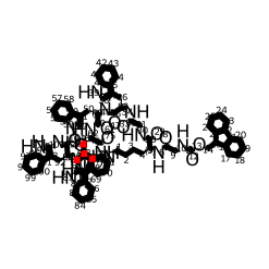 NCCCC[C@H](NC(=O)CNC(=O)OCC1c2ccccc2-c2ccccc21)C(=O)NCC(=O)N[C@@H](Cc1c[nH]c2ccccc12)C(=O)N[C@@H](Cc1c[nH]c2ccccc12)C(=O)N[C@@H](Cc1c[nH]c2ccccc12)C(=O)N[C@@H](Cc1c[nH]c2ccccc12)C(=O)N[C@@H](Cc1c[nH]c2ccccc12)C(N)=O